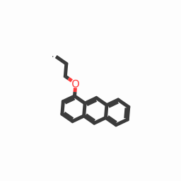 [CH2]CCOc1cccc2cc3ccccc3cc12